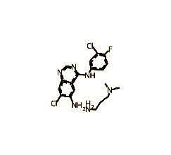 CN(C)CCCN.Nc1cc2c(Nc3ccc(F)c(Cl)c3)ncnc2cc1Cl